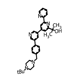 CC(C)(O)c1cc(-c2cncc(-c3ccc(CN4CCN(C(C)(C)C)CC4)cc3)c2)cc(-c2ccccn2)n1